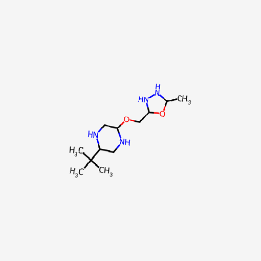 CC1NNC(COC2CNC(C(C)(C)C)CN2)O1